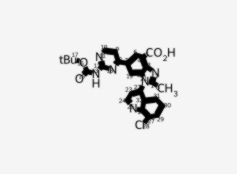 Cc1nc2c(C(=O)O)cc(-c3ccnc(NC(=O)OC(C)(C)C)n3)cc2n1-c1ccnc2c(Cl)cccc12